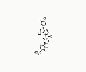 Cc1nc(N2CCN(C(=O)c3cnc4c(n3)C3(CCC3)CN4c3ccc(Cl)c(F)c3)C(C)(C)C2)c(C)c(C)c1C(=O)O